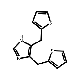 c1csc(Cc2nc[nH]c2Cc2cccs2)c1